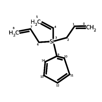 C=CC[Si](C=C)(CC=C)c1ccccc1